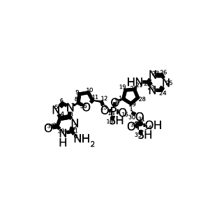 Nc1nc2c(ncn2[C@H]2CC[C@@H](COP(=O)(S)O[C@H]3C[C@H](Nc4ncncn4)C[C@@H]3COP(=O)(O)S)O2)c(=O)[nH]1